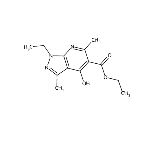 CCOC(=O)c1c(C)nc2c(c(C)nn2CC)c1O